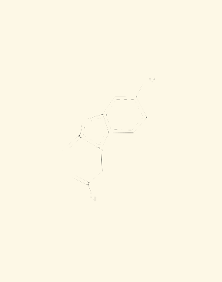 COc1ccc2c(c1)oc(=O)n2CC(N)=O